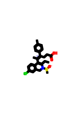 CCC1=C(/C(C)=C(\CCC(=O)O)c2ccc(C)cc2)c2ccc(Cl)cc2CN1[S+](C)[O-]